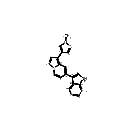 Cn1cc(-c2cnn3ccc(-c4c[nH]c5ncncc45)cc23)cn1